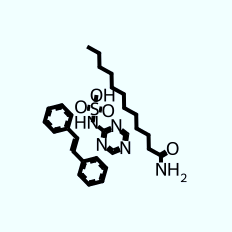 C(=Cc1ccccc1)c1ccccc1.CCCCCCCCCCCC(N)=O.O=S(=O)(O)Nc1ncncn1